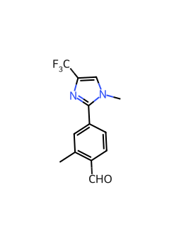 Cc1cc(-c2nc(C(F)(F)F)cn2C)ccc1C=O